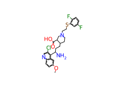 COc1ccc2ncc(Cl)c(C(N)CCC3CCN(CCSc4cc(F)ccc4F)CC3C(=O)O)c2c1